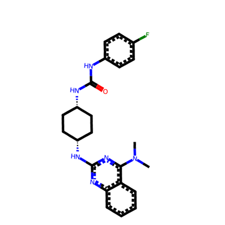 CN(C)c1nc(N[C@H]2CC[C@@H](NC(=O)Nc3ccc(F)cc3)CC2)nc2ccccc12